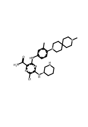 CCc1nc(C(N)=O)c(Nc2ccc(N3CCC4(CCN(C)CC4)CC3)c(C)c2)nc1N[C@@H]1CCCNC1